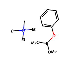 CC[N+](C)(CC)CC.COB(OC)Oc1ccccc1